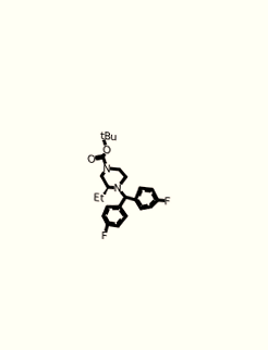 CC[C@H]1CN(C(=O)OC(C)(C)C)CCN1C(c1ccc(F)cc1)c1ccc(F)cc1